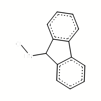 ClNC1c2ccccc2-c2ccccc21